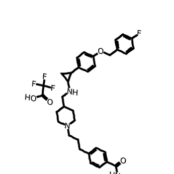 O=C(NO)c1ccc(CCCN2CCC(CNC3CC3c3ccc(OCc4ccc(F)cc4)cc3)CC2)cc1.O=C(O)C(F)(F)F